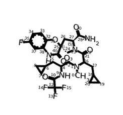 CN(C(=O)C(CC1CC1)NC(=O)C(F)(F)F)C(CC1CC1)C(=O)N1C[C@@]2(C[C@H]1C(N)=O)Oc1ccc(F)cc1NC2=O